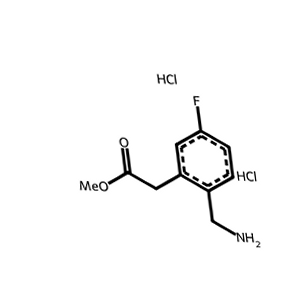 COC(=O)Cc1cc(F)ccc1CN.Cl.Cl